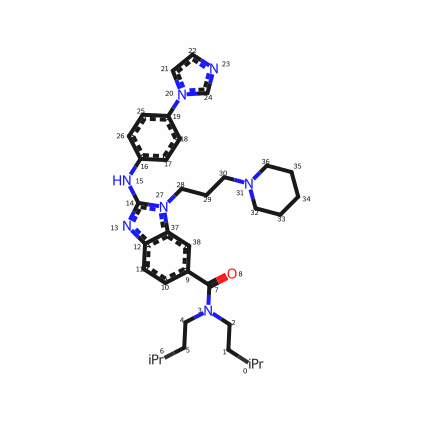 CC(C)CCN(CCC(C)C)C(=O)c1ccc2nc(Nc3ccc(-n4ccnc4)cc3)n(CCCN3CCCCC3)c2c1